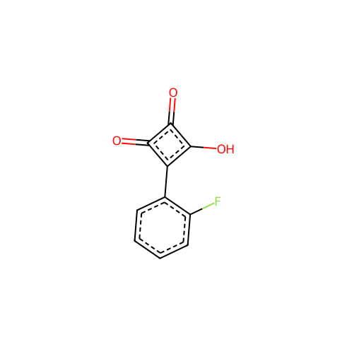 O=c1c(O)c(-c2ccccc2F)c1=O